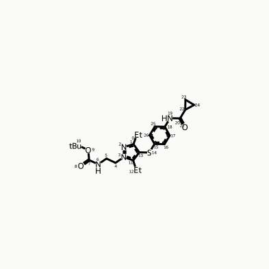 CCc1nn(CCNC(=O)OC(C)(C)C)c(CC)c1Sc1ccc(NC(=O)C2CC2)cc1